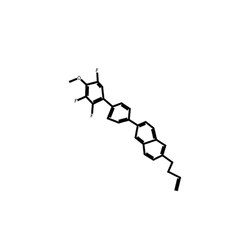 C=CCCc1ccc2cc(-c3ccc(-c4cc(F)c(OC)c(F)c4F)cc3)ccc2c1